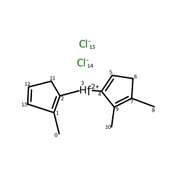 CC1=[C]([Hf+2][C]2=CCC(C)=C2C)CC=C1.[Cl-].[Cl-]